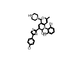 CCc1cccc(CC)c1N1C(C=C(C)C)=C(C(=O)N2CCNCC2)C=C(c2nc(-c3ccc(Cl)cc3)cs2)C1O